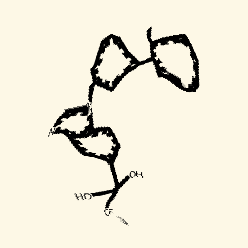 Cc1ccccc1-c1cccc(-n2cnc3cc(C(O)(O)C(F)(F)F)ccc32)c1